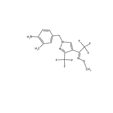 CO/N=C(/c1cn(Cc2ccc(N)c(C)c2)nc1C(F)(F)F)C(F)(F)F